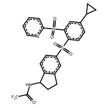 O=C(NC1CCc2cc(S(=O)(=O)c3ccc(C4CC4)cc3S(=O)(=O)c3ccccn3)ccc21)C(F)(F)F